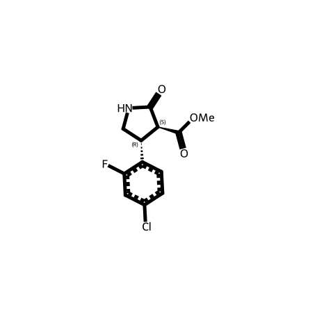 COC(=O)[C@@H]1C(=O)NC[C@H]1c1ccc(Cl)cc1F